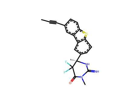 CC#Cc1ccc2sc3ccc([C@@]4(C)NC(=N)N(C)C(=O)C4(F)F)cc3c2c1